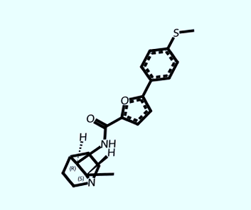 CSc1ccc(-c2ccc(C(=O)N[C@@H]3C4CCN(CC4)[C@H]3C)o2)cc1